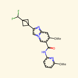 COc1cccc(NC(=O)c2cn3cc(C45CC(C(F)F)(C4)C5)nc3cc2OC)n1